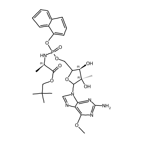 COc1nc(N)nc2c1ncn2C1OC(COP(=O)(N[C@H](C)C(=O)OCC(C)(C)C)Oc2cccc3ccccc23)[C@@H](O)[C@@]1(C)O